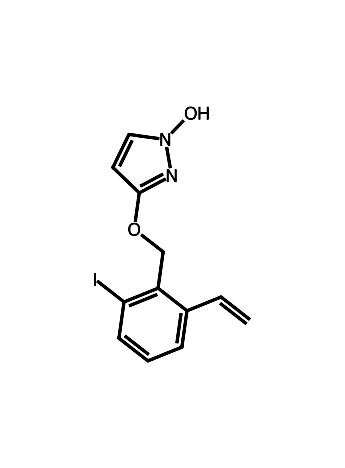 C=Cc1cccc(I)c1COc1ccn(O)n1